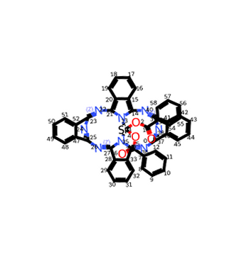 O=C(O[Si]1(OC(=O)c2ccccc2)n2c3c4ccccc4c2/N=C2N=C(/N=c4/c5ccccc5/c(n41)=N/C1=NC(=N\3)/c3ccccc31)c1ccccc1\2)c1ccccc1